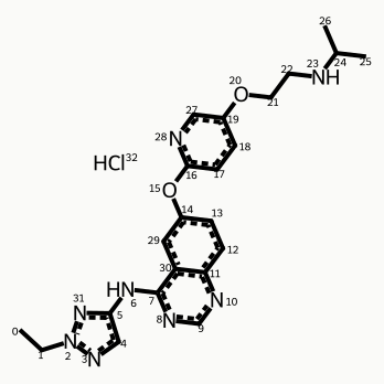 CCn1ncc(Nc2ncnc3ccc(Oc4ccc(OCCNC(C)C)cn4)cc23)n1.Cl